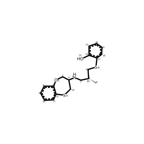 C[C@H](CNC1COc2ccccc2SC1)CSc1ccccc1O